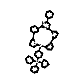 c1ccc(-c2cc3nc(n2)-c2cccc(c2)-c2cccc(c2)N(c2ccc(S(c4ccccc4)(c4ccccc4)c4ccccc4)cc2)c2cccc(c2)-c2cccc-3c2)cc1